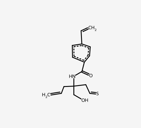 C=CCC(CO)(CC=S)NC(=O)c1ccc(C=C)cc1